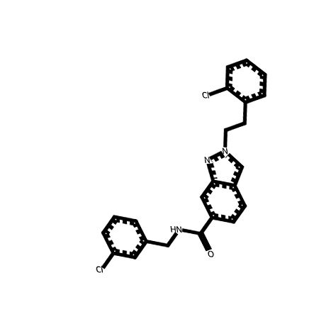 O=C(NCc1cccc(Cl)c1)c1ccc2cn(CCc3ccccc3Cl)nc2c1